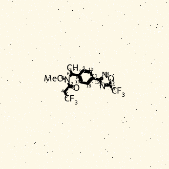 CON(C(=O)CC(F)(F)F)C(C)c1ccc(-c2noc(C(F)(F)F)n2)cc1